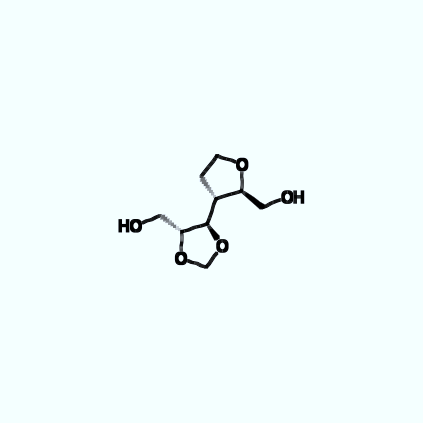 OC[C@@H]1OCC[C@H]1[C@H]1OCO[C@@H]1CO